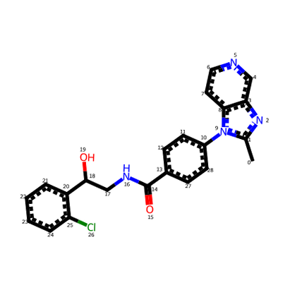 Cc1nc2cnccc2n1-c1ccc(C(=O)NCC(O)c2ccccc2Cl)cc1